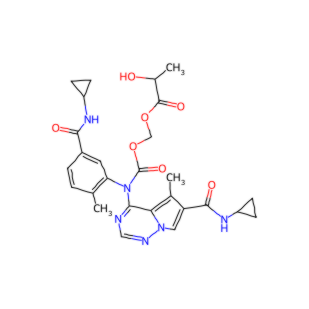 Cc1ccc(C(=O)NC2CC2)cc1N(C(=O)OCOC(=O)C(C)O)c1ncnn2cc(C(=O)NC3CC3)c(C)c12